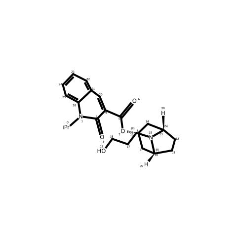 CC(C)n1c(=O)c(C(=O)O[C@H]2C[C@H]3CC[C@@H](C2)N3CCCO)cc2ccccc21